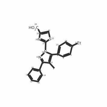 CCc1ccc(-c2c(C)c(-c3ccccc3)nn2-c2nc(C(=O)O)cs2)cc1